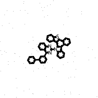 c1ccc(-c2cccc(-c3nc(-n4c5ccccc5c5c6ccccc6c6sc7ccccc7c6c54)nc4ccccc34)c2)cc1